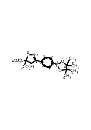 CCOC(=O)C1(C(=O)OCC)CC(c2ccc(B3OC(C)(C)C(C)(C)O3)cc2)=NO1